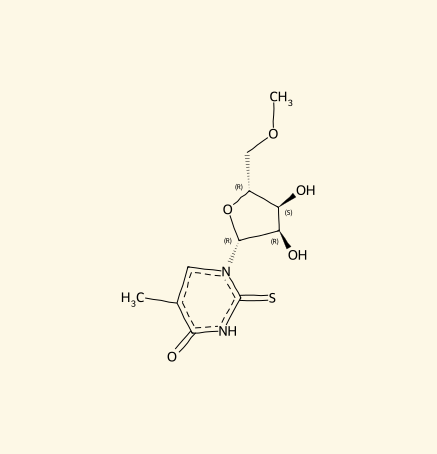 COC[C@H]1O[C@@H](n2cc(C)c(=O)[nH]c2=S)[C@H](O)[C@@H]1O